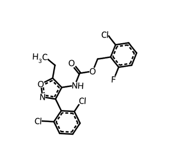 CCc1onc(-c2c(Cl)cccc2Cl)c1NC(=O)OCc1c(F)cccc1Cl